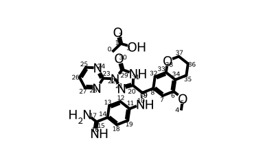 CC(=O)O.COc1cc([C@H](Nc2ccc(C(=N)N)cc2)c2nn(-c3ncccn3)c(=O)[nH]2)cc2c1CCCO2